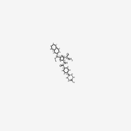 CCN(c1ccc2ccccc2c1)c1nc(C(N)=O)c(NC(=O)c2ccc(N3CCN(C)CC3)cc2)s1